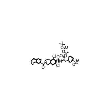 CC(OC(=O)OC(C)(C)C)OC(=O)[C@H](Cc1cccc(S(C)(=O)=O)c1)NC(=O)c1c(Cl)cc2c(c1Cl)CCN(C(=O)c1ccc3ccoc3c1)C2